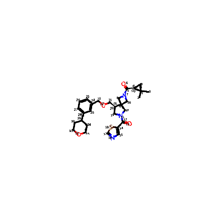 CC1(C)C[C@@H]1C(=O)N1CC2(CN(C(=O)c3cncs3)C[C@H]2COCc2cccc(C3CCOCC3)c2)C1